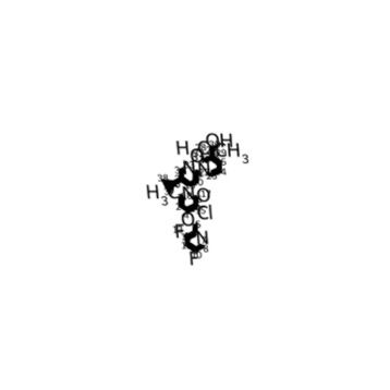 Cc1cc(OCc2ncc(F)cc2F)c(Cl)c(=O)n1-c1cc(-n2cccc(C(C)(C)O)c2=O)ncc1C1CC1